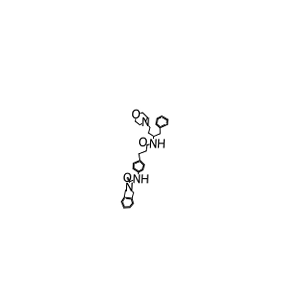 O=C(CCc1ccc(NC(=O)N2Cc3ccccc3C2)cc1)NC(CCN1CCOCC1)Cc1ccccc1